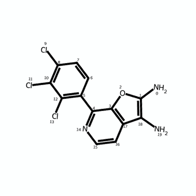 Nc1oc2c(-c3ccc(Cl)c(Cl)c3Cl)nccc2c1N